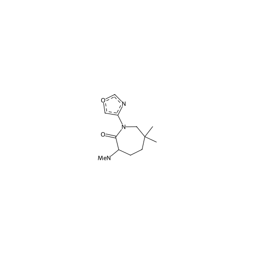 CNC1CCC(C)(C)CN(c2cocn2)C1=O